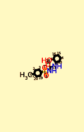 Cc1ccc(S(=O)(=O)NC(=O)Nc2ccccc2O)cc1